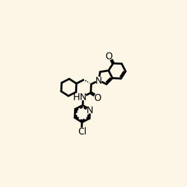 O=C1CC=CC2=CN([C@@H](CC3CCCCC3)C(=O)Nc3ccc(Cl)cn3)CC12